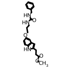 COC(=O)CCc1cc2cc(OCCCNC(=O)NCc3ccccc3)ccc2[nH]1